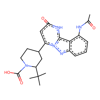 CC(=O)Nc1cccc2nn3c(C4CCN(C(=O)O)C(C(C)(C)C)C4)cc(=O)[nH]c3c12